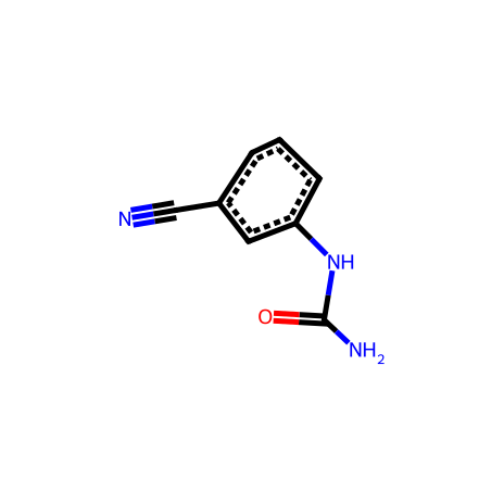 N#Cc1cccc(NC(N)=O)c1